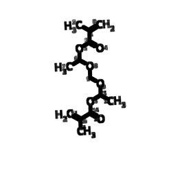 C=C(C)C(=O)OC(C)OCOC(C)OC(=O)C(=C)C